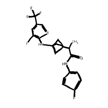 CC(C(=O)Nc1ccc(F)cc1)C12CC(Nc3ncc(C(F)(F)F)cc3F)(C1)C2